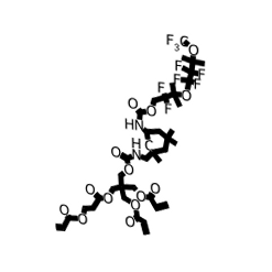 C=CC(=O)OCCC(=O)OCC(COC(=O)C=C)(COC(=O)C=C)COC(=O)NCC1(C)CC(NC(=O)OCC(F)(F)C(C)(C)OC(F)(F)C(F)(F)C(C)(C)OC(F)(F)F)CC(C)(C)C1